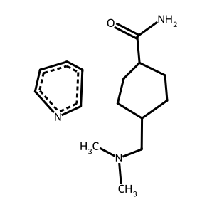 CN(C)CC1CCC(C(N)=O)CC1.c1ccncc1